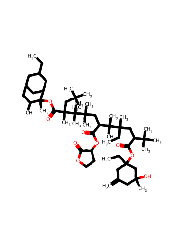 C=C1CC(C)(O)CC(CC)(OC(=O)C(CC(C)(CC)C(C)(C)C(CC(C)(C)C(C)(C)C(C)(CC(C)(C)C)C(=O)OC2(C)C(C)CC3CC(CC)CC2C3)C(=O)OC2CCOC2=O)C(C)(C)C)C1